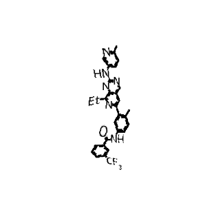 CCc1nc(-c2cc(NC(=O)c3cccc(C(F)(F)F)c3)ccc2C)cc2cnc(Nc3ccc(C)nc3)nc12